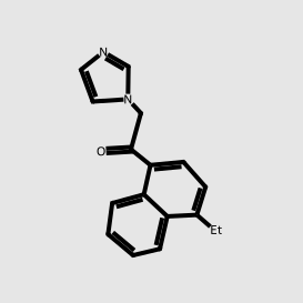 CCc1ccc(C(=O)Cn2ccnc2)c2ccccc12